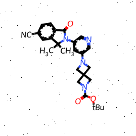 CC(C)(C)OC(=O)N1CC2(C1)CN(c1cncc(N3C(=O)c4ccc(C#N)cc4C3(C)C)c1)C2